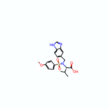 COc1ccc(S(=O)(=O)N(Cc2ccc3[nH]cnc3c2)[C@@H](C(=O)O)C(C)C)cc1